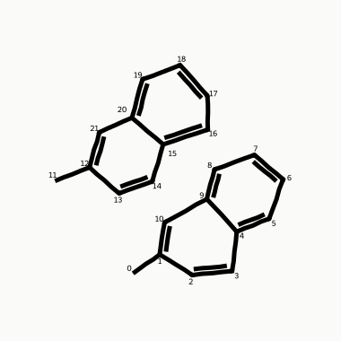 Cc1ccc2ccccc2c1.Cc1ccc2ccccc2c1